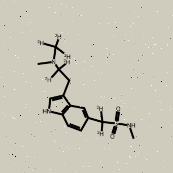 [2H]C([2H])([2H])N(C)C([2H])([2H])Cc1c[nH]c2ccc(C([2H])([2H])S(=O)(=O)NC)cc12